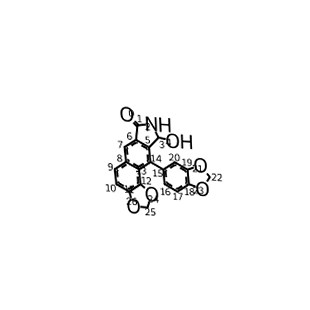 O=C1NC(O)c2c1cc1ccc3c(c1c2-c1ccc2c(c1)OCO2)OCO3